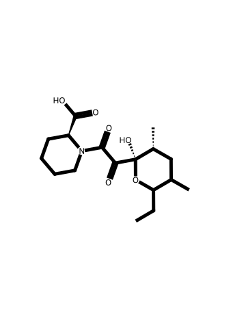 CCC1O[C@@](O)(C(=O)C(=O)N2CCCC[C@H]2C(=O)O)[C@H](C)CC1C